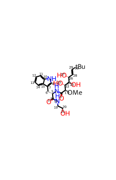 CO[C@@H](C(=O)N[C@@H](Cc1c[nH]c2ccccc12)C(=O)NCCO)[C@H](O)[C@@H](O)[C@H](O)/C=C/C(C)(C)C